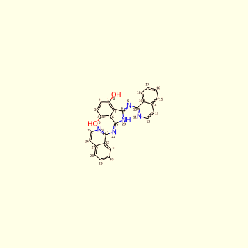 Oc1ccc(O)c2c1/C(=N/c1nccc3ccccc13)N/C2=N/c1nccc2ccccc12